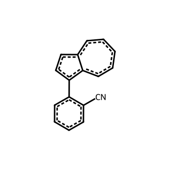 N#Cc1ccccc1-c1ccc2cccccc1-2